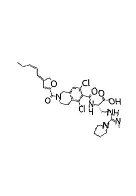 CC/C=C\C=C1\C=C(C(=O)N2CCc3c(cc(Cl)c(C(=O)N[C@@H](CN/C(=N/C)N4CCCC4)C(=O)O)c3Cl)C2)OC1